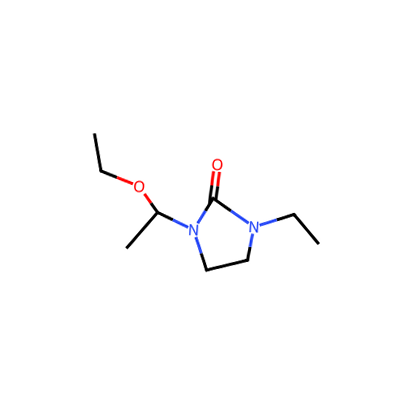 CCOC(C)N1CCN(CC)C1=O